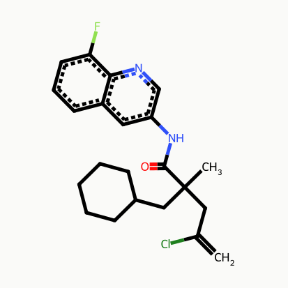 C=C(Cl)CC(C)(CC1CCCCC1)C(=O)Nc1cnc2c(F)cccc2c1